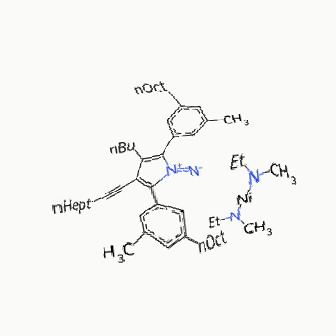 CCCCCCCC#CC1=C(c2cc(C)cc(CCCCCCCC)c2)[N+](=[N-])C(c2cc(C)cc(CCCCCCCC)c2)=C1CCCC.CC[N](C)[Ni][N](C)CC